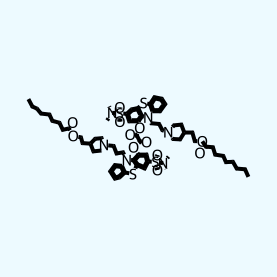 CCCCCCCCC(=O)OCCC1CCN(CCCN2c3ccccc3Sc3cc(S(=O)(=O)N(C)C)cc(OC(=O)C(=O)Oc4cc(S(=O)(=O)N(C)C)cc5c4N(CCCN4CCC(CCOC(=O)CCCCCCCC)CC4)c4ccccc4S5)c32)CC1